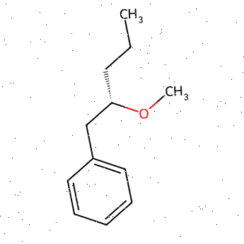 CCC[C@@H](Cc1ccccc1)OC